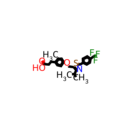 Cc1cc(OCc2sc(-c3ccc(C(F)(F)F)cc3)nc2C(C)C)ccc1CCC(=O)O